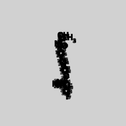 CCC(CO)n1ncn(-c2ccc(N3CCN(c4ccc(OC[C@@H]5CO[C@@](Cn6cncn6)(c6ccc(F)cc6F)O5)cc4)CC3)cc2)c1=O